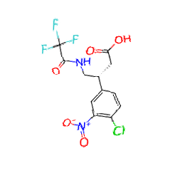 O=C(O)C[C@@H](CNC(=O)C(F)(F)F)c1ccc(Cl)c([N+](=O)[O-])c1